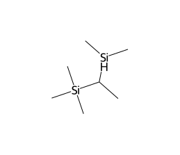 CC([SiH](C)C)[Si](C)(C)C